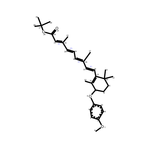 COc1ccc(OC2CCC(C)(C)C(/C=C/C(C)=C/C=C/C(C)=C/C(=O)OC(C)(C)C)=C2C)cc1